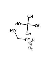 O=C(O)CO.[BaH2].[OH][Ti]([OH])([OH])[OH]